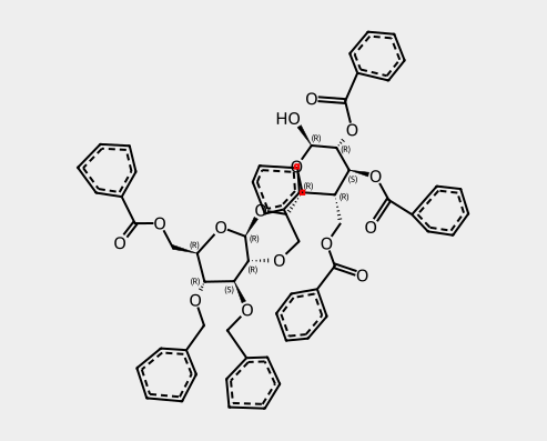 O=C(OC[C@H]1[C@H](OC(=O)c2ccccc2)[C@@H](OC(=O)c2ccccc2)[C@H](O)O[C@H]1CO[C@@H]1O[C@H](COC(=O)c2ccccc2)[C@@H](OCc2ccccc2)[C@H](OCc2ccccc2)[C@H]1OCc1ccccc1)c1ccccc1